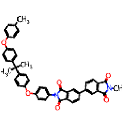 Cc1ccc(Oc2ccc(C(C)(C)c3ccc(Oc4ccc(N5C(=O)c6ccc(-c7ccc8c(c7)C(=O)N(C)C8=O)cc6C5=O)cc4)cc3)cc2)cc1